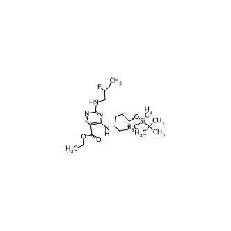 CCOC(=O)c1cnc(NCC(F)CC)nc1N[C@H]1CC[C@H](O[Si](C)(C)C(C)(C)C)CC1